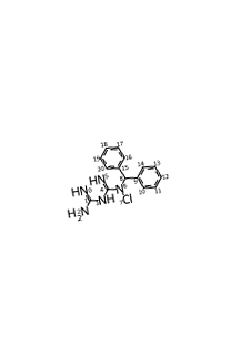 N=C(N)NC(=N)N(Cl)C(c1ccccc1)c1ccccc1